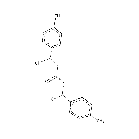 Cc1ccc(C(Cl)CC(=O)CC(Cl)c2ccc(C)cc2)cc1